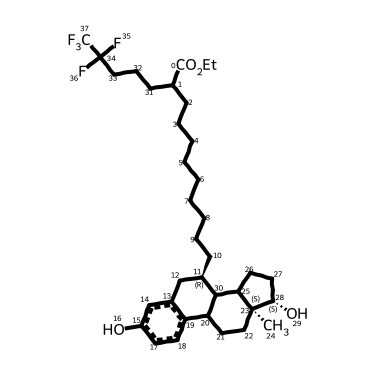 CCOC(=O)C(CCCCCCCCC[C@@H]1Cc2cc(O)ccc2C2CC[C@@]3(C)C(CC[C@@H]3O)C21)CCCC(F)(F)C(F)(F)F